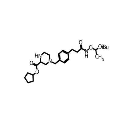 CC(C)COC(C)ONC(=O)CCc1ccc(CN2CCNC(C(=O)OC3CCCC3)C2)cc1